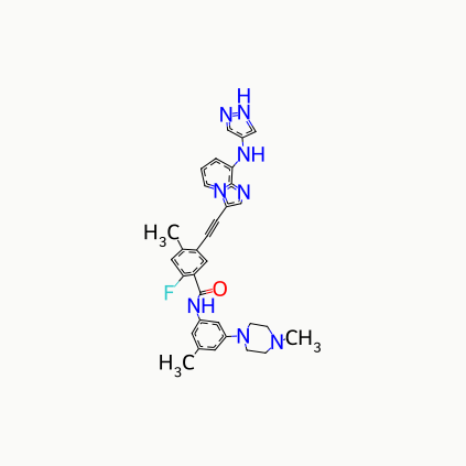 Cc1cc(NC(=O)c2cc(C#Cc3cnc4c(Nc5cn[nH]c5)cccn34)c(C)cc2F)cc(N2CCN(C)CC2)c1